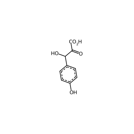 O=C(O)C(=O)C(O)c1ccc(O)cc1